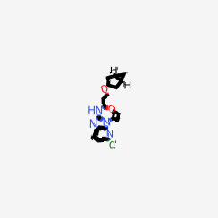 O=C(CCO[C@H]1C[C@@H]2C[C@@H]2C1)Nc1nc2ccc(Cl)nc2n1C1CCC1